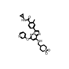 Cc1cc(-c2cnc3c(NCC4CCS(=O)(=O)CC4)cc(Oc4cccnc4)nn23)ccc1C(=O)NC1CC1